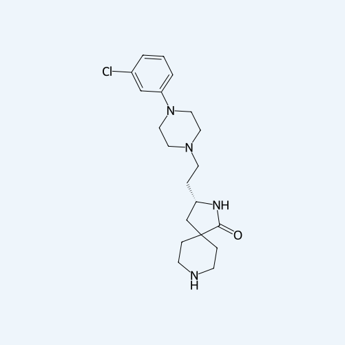 O=C1N[C@@H](CCN2CCN(c3cccc(Cl)c3)CC2)CC12CCNCC2